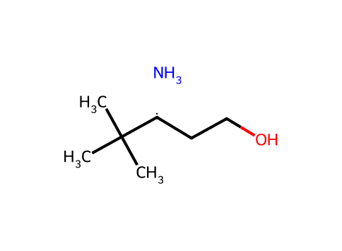 CC(C)(C)[CH]CCO.N